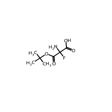 CC(C)(C)OC(=O)C(N)(F)C(=O)O